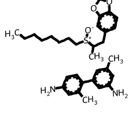 CCCCCCCC[S+]([O-])C(C)Cc1ccc2c(c1)OCO2.Cc1cc(N)cc(-c2ccc(N)cc2C)c1